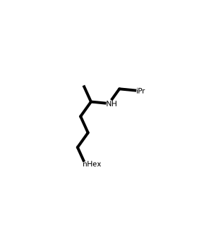 CCCCCCCCCC(C)NCC(C)C